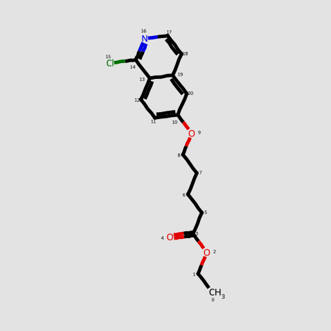 CCOC(=O)CCCCOc1ccc2c(Cl)nccc2c1